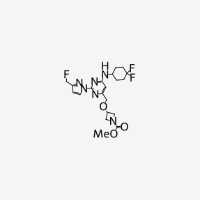 COC(=O)N1CC(OCc2cc(NC3CCC(F)(F)CC3)nc(-n3ccc(CF)n3)n2)C1